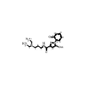 CCN(CC)CCCNC(=O)c1cc(O)n(-c2ccccc2Cl)n1